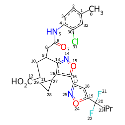 Cc1ccc(NC(=O)CC(CCC(=O)O)c2noc(-c3cc(C(F)(F)C(C)C)on3)c2C2CC2)c(Cl)c1